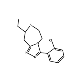 CCC1Cc2nnc(-c3ccccc3Cl)n2CCS1